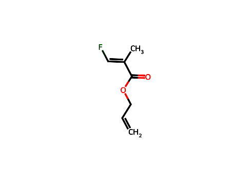 C=CCOC(=O)C(C)=CF